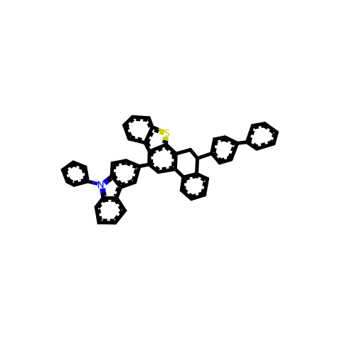 c1ccc(-c2ccc(C3Cc4c(cc(-c5ccc6c(c5)c5ccccc5n6-c5ccccc5)c5c4sc4ccccc45)-c4ccccc43)cc2)cc1